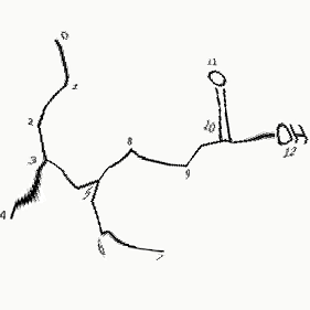 CCCC(C)C(CC)CCC(=O)O